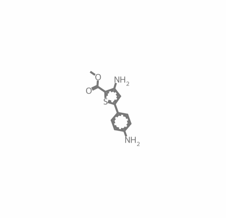 COC(=O)c1sc(-c2ccc(N)cc2)cc1N